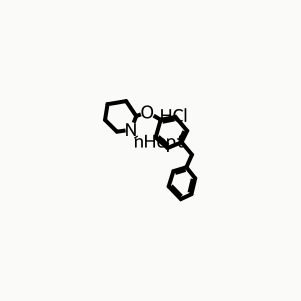 CCCCCCCN1CCCCC1Oc1ccc(Cc2ccccc2)cc1.Cl